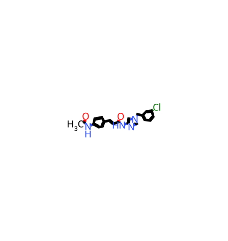 CC(=O)Nc1ccc(/C=C/C(=O)Nc2cn(Cc3cccc(Cl)c3)cn2)cc1